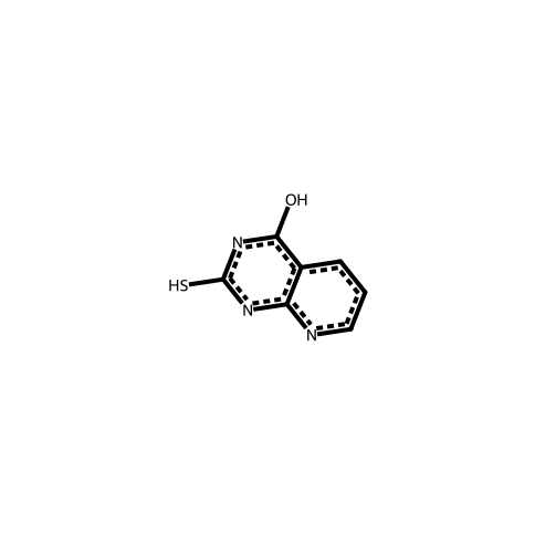 Oc1nc(S)nc2ncccc12